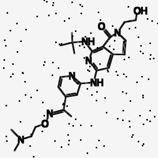 C/C(=N\OCCN(C)C)c1ccnc(Nc2cc3ccn(CCO)c(=O)c3c(NC(C)(C)C)n2)c1